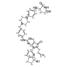 C=CCn1c(=O)c2cnc(Nc3ccc(CN4CCN(c5ccc(NC6CCC(=O)NC6=O)cc5)CC4)cc3)nc2n1-c1ccc2c(n1)C(CC)CC2